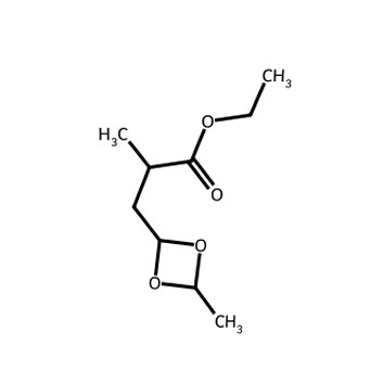 CCOC(=O)C(C)CC1OC(C)O1